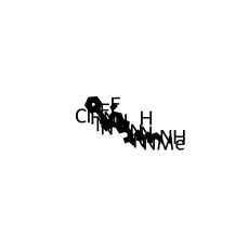 CN/C(=C\C=N)Nc1ncc(C)c(-c2cc3n(c2)C[C@H](CF)n2c-3nnc2C(F)(F)c2ccccc2Cl)n1